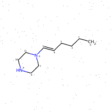 [CH2]CCCC=CN1CCNCC1